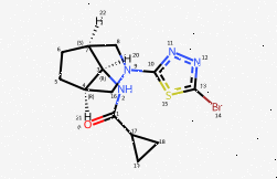 O=C(N[C@H]1[C@@H]2CC[C@H]1CN(c1nnc(Br)s1)C2)C1CC1